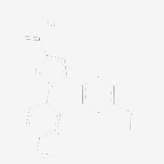 COc1ccc(-n2nc(C(=O)NC(C)(C)C)cc2-c2ccc(N(C)C)cc2)cn1